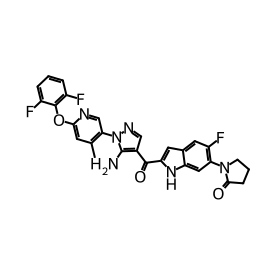 Cc1cc(Oc2c(F)cccc2F)ncc1-n1ncc(C(=O)c2cc3cc(F)c(N4CCCC4=O)cc3[nH]2)c1N